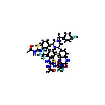 CC(=O)Nc1nc2c(-c3c(N4CCN(C(C)c5ccc(F)cc5)CC4)c(-c4cccc5[nH]c(=O)c(N)nc45)c4c(c3C(F)(F)F)NC(NC(C)=O)(NC(=O)C(F)(F)F)S4)cccc2s1